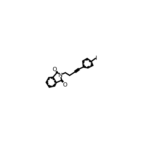 O=C1c2ccccc2C(=O)N1CCC#Cc1ccc(I)cc1